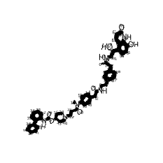 C[C@H](Cc1ccc(CCNC(=O)Cc2ccc(N(C)C(=O)CCN3CCC(OC(=O)Nc4ccccc4-c4ccccc4)CC3)cc2)cc1)NCC(O)c1ccc(O)c2[nH]c(=O)ccc12